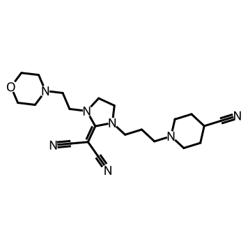 N#CC(C#N)=C1N(CCCN2CCC(C#N)CC2)CCN1CCN1CCOCC1